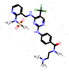 CN(C)CCN(C)C(=O)c1ccc(Nc2ncc(C(F)(F)F)c(NCc3cccnc3N(C)S(C)(=O)=O)n2)cc1